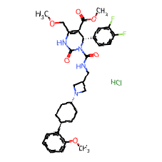 COCC1=C(C(=O)OC)[C@H](c2ccc(F)c(F)c2)N(C(=O)NCC2CN([C@H]3CC[C@H](c4ccccc4OC)CC3)C2)C(=O)N1.Cl